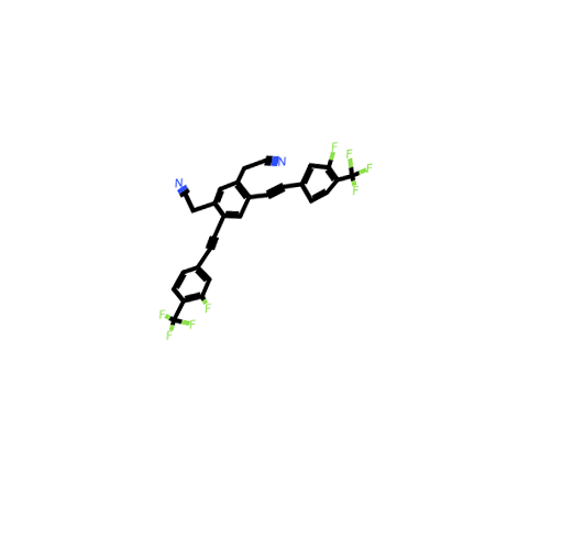 N#CCc1cc(CC#N)c(C#Cc2ccc(C(F)(F)F)c(F)c2)cc1C#Cc1ccc(C(F)(F)F)c(F)c1